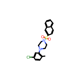 Cc1ccc(Cl)cc1N1CCN(S(=O)(=O)c2ccc3ccccc3c2)CC1